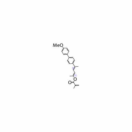 C=C(C)C(=O)O/C(C)=C/C=C(\C)c1ccc(-c2ccc(OC)cc2)cc1